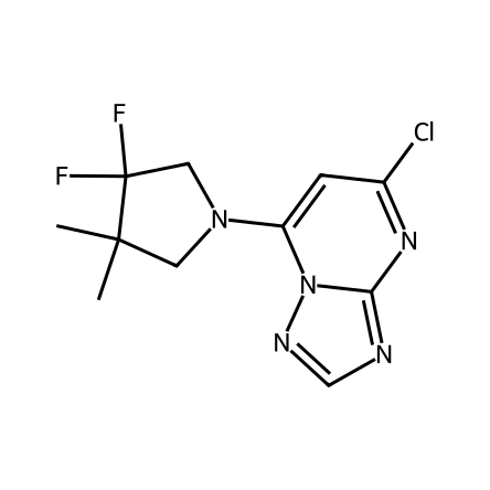 CC1(C)CN(c2cc(Cl)nc3ncnn23)CC1(F)F